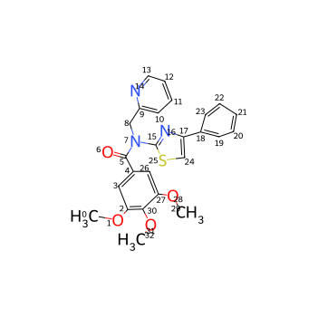 COc1cc(C(=O)N(Cc2ccccn2)c2nc(-c3ccccc3)cs2)cc(OC)c1OC